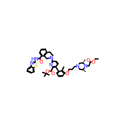 CCOC(=O)CN1[C@H](C)CN(CCCOc2cccc(-c3ccc(N4CCc5cccc(C(=O)Nc6nc7ccccc7s6)c5C4)nc3C(=O)OC(C)(C)C)c2C)C[C@@H]1C